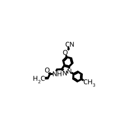 C=CC(=O)NCc1nn(-c2ccc(C)cc2)c2ccc(OCC#N)cc12